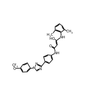 Cc1cccc(C)c1N/C(O)=C/C(=O)Nc1ccc(-c2ncn(-c3ccc(OC(F)(F)F)cc3)n2)cc1